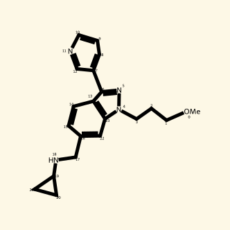 COCCCn1nc(-c2cccnc2)c2ccc(CNC3CC3)cc21